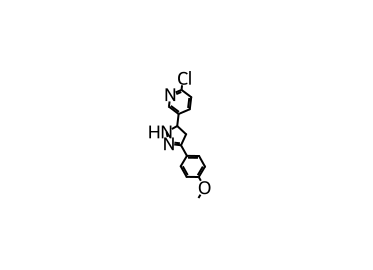 COc1ccc(C2=NNC(c3ccc(Cl)nc3)C2)cc1